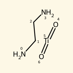 NCCN.[O]=[Ti]=[O]